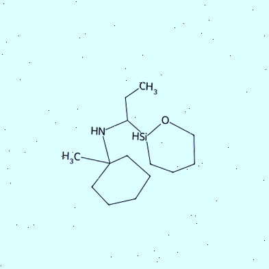 CCC(NC1(C)CCCCC1)[SiH]1CCCCO1